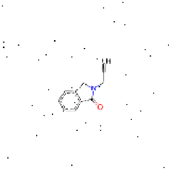 C#CCN1Cc2ccccc2C1=O